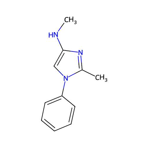 CNc1cn(-c2ccccc2)c(C)n1